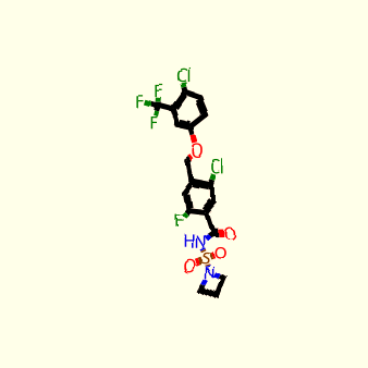 O=C(NS(=O)(=O)N1CCC1)c1cc(Cl)c(COc2ccc(Cl)c(C(F)(F)F)c2)cc1F